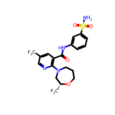 NS(=O)(=O)c1cccc(NC(=O)c2cc(C(F)(F)F)cnc2N2CCCO[C@H](C(F)(F)F)C2)c1